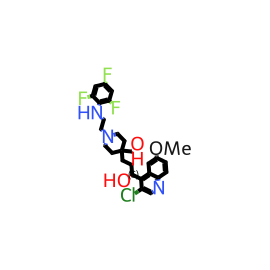 COc1ccc2ncc(Cl)c([C@@H](O)CCC3(CO)CCN(CCNc4c(F)cc(F)cc4F)CC3)c2c1